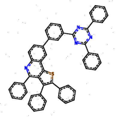 c1ccc(-c2nc(-c3ccccc3)nc(-c3cccc(-c4ccc5nc(-c6ccccc6)c6c(-c7ccccc7)c(-c7ccccc7)sc6c5c4)c3)n2)cc1